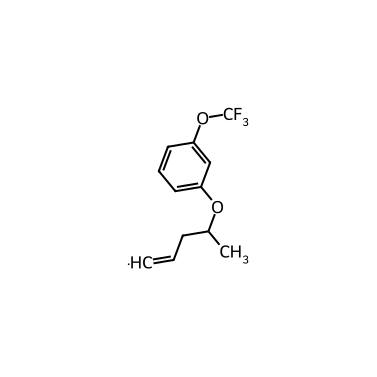 [CH]=CCC(C)Oc1cccc(OC(F)(F)F)c1